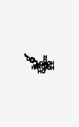 CCCOc1ccc(Cc2c(O[C@@H]3O[C@H](CO)[C@@H](O)[C@H](O)[C@H]3O)n[nH]c2C)cc1